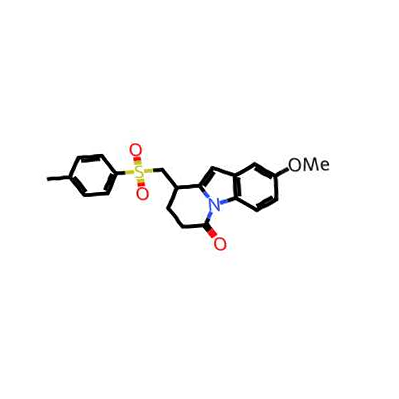 COc1ccc2c(c1)cc1n2C(=O)CCC1CS(=O)(=O)c1ccc(C)cc1